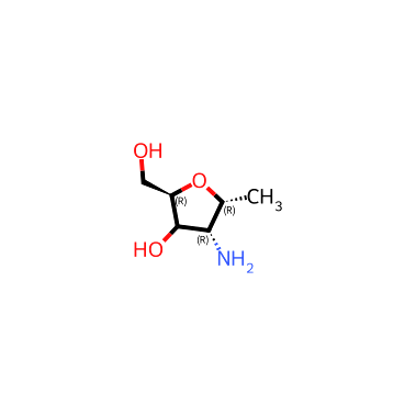 C[C@H]1O[C@H](CO)C(O)[C@H]1N